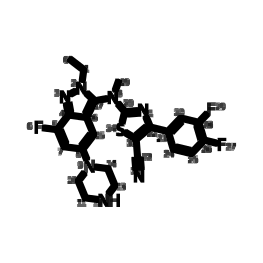 CCn1nc2c(F)cc(N3CCNCC3)cc2c1N(C)c1nc(-c2ccc(F)c(F)c2)c(C#N)s1